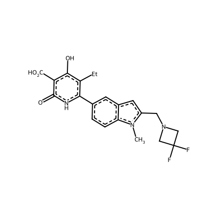 CCc1c(-c2ccc3c(c2)cc(CN2CC(F)(F)C2)n3C)[nH]c(=O)c(C(=O)O)c1O